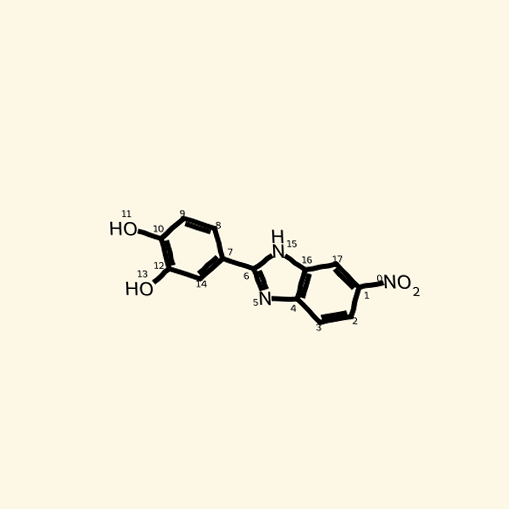 O=[N+]([O-])c1ccc2nc(-c3ccc(O)c(O)c3)[nH]c2c1